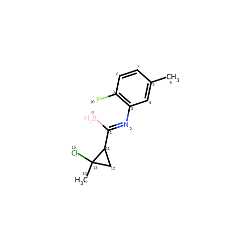 B/C(=N\c1cc(C)ccc1F)C1CC1(C)Cl